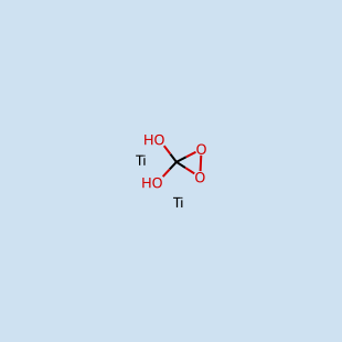 OC1(O)OO1.[Ti].[Ti]